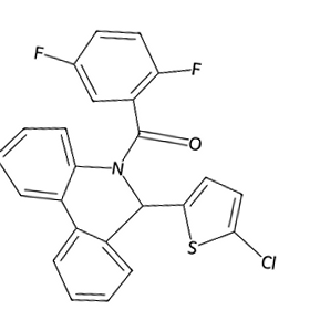 O=C(c1cc(F)ccc1F)N1c2ccccc2-c2ccccc2C1c1ccc(Cl)s1